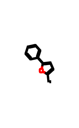 [CH]c1ccc(-c2ccccc2)o1